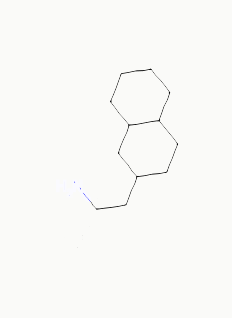 N[C@H](CC1CCC2CCCCC2C1)C(=O)O